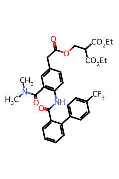 CCOC(=O)C(COC(=O)Cc1ccc(NC(=O)c2ccccc2-c2ccc(C(F)(F)F)cc2)c(C(=O)N(C)C)c1)C(=O)OCC